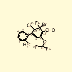 Cc1ccccc1C1=CC(OC(F)F)=C(C=O)C(F)(Br)C1Cl